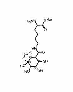 CCCCCCCCO[C@]1(O)OC(C(=O)NCCCCC(NC(C)=O)C(=O)NC)[C@@H](O)[C@H](O)C1O